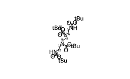 CC(C)(C)OC(=O)NCCN(CCN(CCNC(=O)OC(C)(C)C)C(=O)OC(C)(C)C)C(=O)OC(C)(C)C